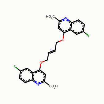 O=C(O)c1cc(OC/C=C/COc2cc(C(=O)O)nc3ccc(F)cc23)c2cc(F)ccc2n1